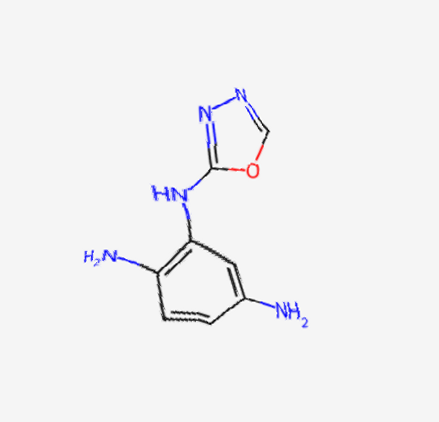 Nc1ccc(N)c(Nc2nnco2)c1